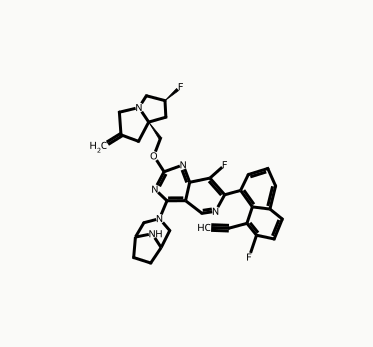 C#Cc1c(F)ccc2cccc(-c3ncc4c(N5CC6CCC(C5)N6)nc(OC[C@@]56CC(=C)CN5C[C@@H](F)C6)nc4c3F)c12